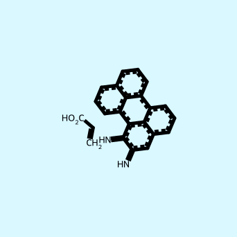 C=CC(=O)O.N=c1cc2cccc3c4cccc5cccc(c(c1=N)c23)c54